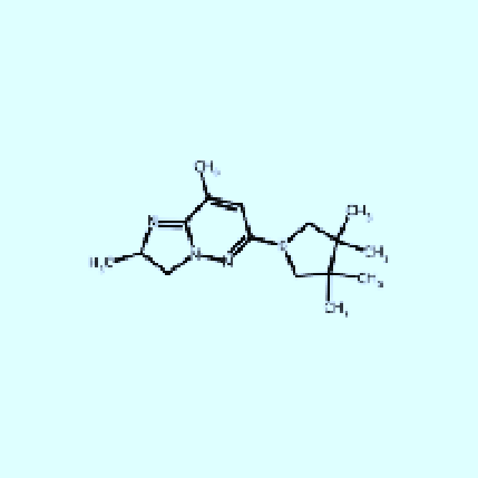 CC1=CC(B2CC(C)(C)C(C)(C)C2)=NN2CC(C)N=C12